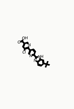 CC(C)(C)c1ccc2nc(-c3ccc(-c4ncc(C(=O)O)cc4Cl)cn3)[nH]c2c1